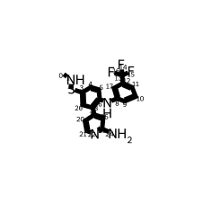 CNSc1ccc(Nc2cccc(C(F)(F)F)c2)c(-c2ccnc(N)c2)c1